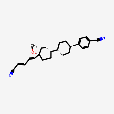 CO[C@]1(C=CC=CC#N)CC[C@H]([C@H]2CC[C@H](c3ccc(C#N)cc3)CC2)CC1